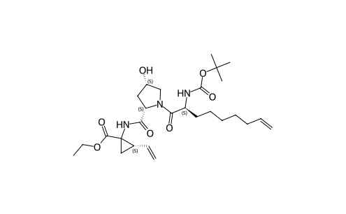 C=CCCCCC[C@H](NC(=O)OC(C)(C)C)C(=O)N1C[C@@H](O)C[C@H]1C(=O)NC1(C(=O)OCC)C[C@H]1C=C